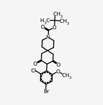 COc1cc(Br)cc(Cl)c1C1C(=O)CC2(CCN(C(=O)OC(C)(C)C)CC2)CC1=O